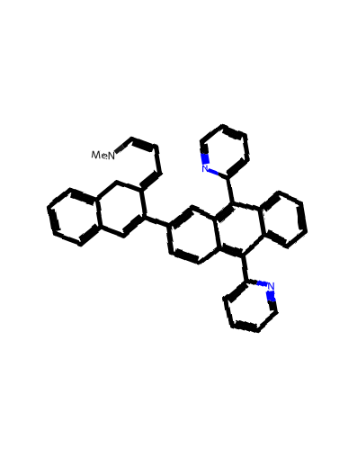 CN/C=C\C=C1/Cc2ccccc2C=C1c1ccc2c(-c3ccccn3)c3ccccc3c(-c3ccccn3)c2c1